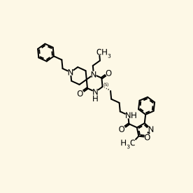 CCCN1C(=O)[C@H](CCCCNC(=O)c2c(-c3ccccc3)noc2C)NC(=O)C12CCN(CCc1ccccc1)CC2